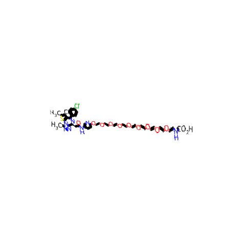 Cc1sc2c(c1C)C(c1ccc(Cl)cc1)=N[C@@H](CC(=O)Nc1ccc(OCCOCCOCCOCCOCCOCCOCCOCCOCCNC(=O)O)nc1)c1nnc(C)n1-2